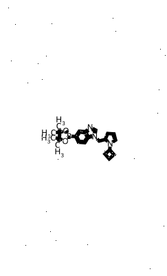 CC1(C)OB(c2ccc3c(c2)ncn3CC2CC=CN2C2CCC2)OC1(C)C